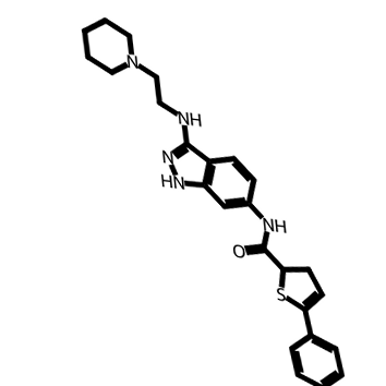 O=C(Nc1ccc2c(NCCN3CCCCC3)n[nH]c2c1)C1CC=C(c2ccc(Cl)cc2)S1